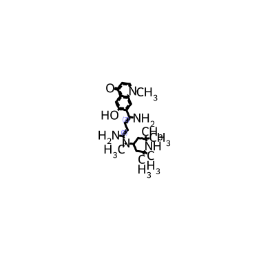 CN(/C(N)=C/C=C(\N)c1cc2c(cc1O)c(=O)ccn2C)C1CC(C)(C)NC(C)(C)C1